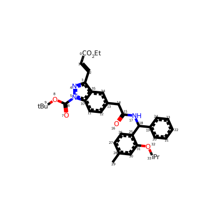 CCOC(=O)/C=C/c1nn(C(=O)OC(C)(C)C)c2ccc(CC(=O)NC(c3ccccc3)c3ccc(C)cc3OC(C)C)cc12